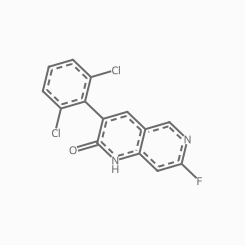 O=c1[nH]c2cc(F)ncc2cc1-c1c(Cl)cccc1Cl